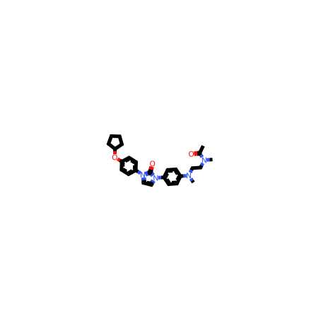 CC(=O)N(C)CCN(C)c1ccc(-n2ccn(-c3ccc(OC4CCCC4)cc3)c2=O)cc1